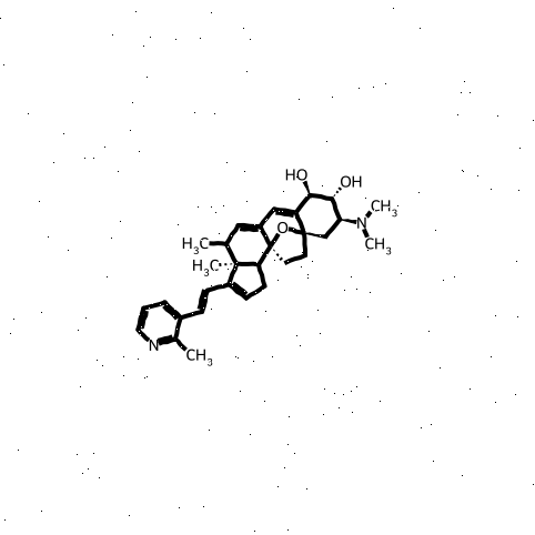 Cc1ncccc1/C=C/C1=CCC2[C@]1(C)C(C)C=C1C=C3[C@@H](O)[C@H](O)[C@@H](N(C)C)C[C@]34CC[C@@]12O4